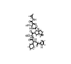 CCC[C@H](NC(=O)[C@@H]1[C@H]2CCC(F)(F)C2CN1C(=O)[C@@H](NC(=O)[C@@H](NC(=O)c1ncc[nH]1)C1CCCCC1)C(C)(C)C)C(=O)C(=O)NC1CC1